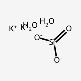 O.O.O=[Si]([O-])[O-].[K+].[K+]